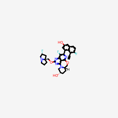 C#Cc1c(F)ccc2cc(O)cc(-c3nc4c5c(nc(OC[C@@]67CCCN6C[C@H](F)C7)nc5c3F)N3C[C@@H](O)CC[C@H]3CO4)c12